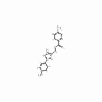 Cc1ccc(C(=O)C=Cc2cc(-c3ccc(Cl)cc3)n[nH]2)cc1